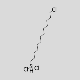 ClCCCCCCCCCCCCC[SiH](Cl)Cl